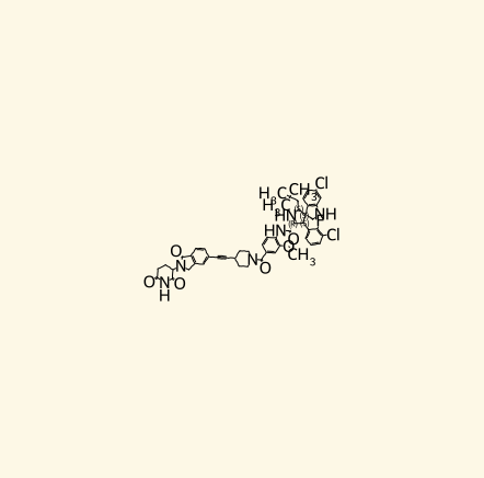 COc1cc(C(=O)N2CCC(C#Cc3ccc4c(c3)CN(C3CCC(=O)NC3=O)C4=O)CC2)ccc1NC(=O)[C@@H]1N[C@@H](CC(C)(C)C)[C@@]2(CNc3cc(Cl)ccc32)[C@H]1c1cccc(Cl)c1F